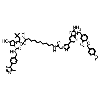 COc1ccc(COc2ccc(Cn3c(N)nc4cc(-c5cnn(CC(=O)NCCCCCCCCCC(=O)N[C@H](C(=O)N6C[C@H](O)C[C@H]6C(=O)NCc6ccc(-c7scnc7C)cc6)C(C)(C)C)c5)cnc43)cc2OC)cc1